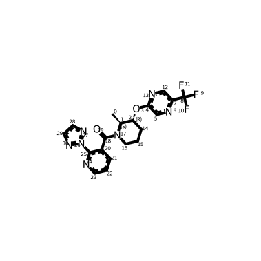 C[C@H]1[C@H](Oc2cnc(C(F)(F)F)cn2)CCCN1C(=O)c1cccnc1-n1nccn1